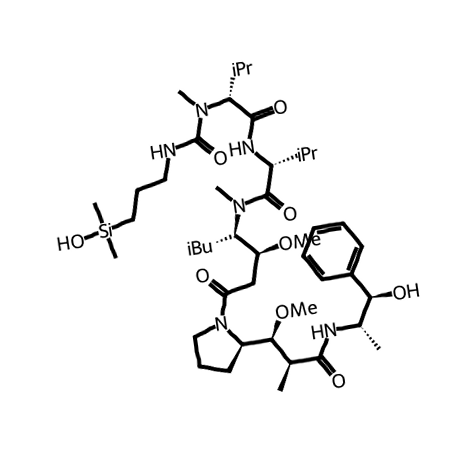 CC[C@@H](C)[C@H]([C@H](CC(=O)N1CCC[C@@H]1[C@@H](OC)[C@H](C)C(=O)N[C@@H](C)[C@H](O)c1ccccc1)OC)N(C)C(=O)[C@H](NC(=O)[C@@H](C(C)C)N(C)C(=O)NCCC[Si](C)(C)O)C(C)C